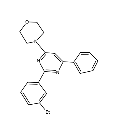 CCc1cccc(-c2nc(-c3ccccc3)cc(N3CCOCC3)n2)c1